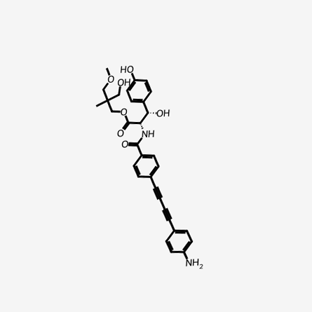 COCC(C)(CO)COC(=O)[C@@H](NC(=O)c1ccc(C#CC#Cc2ccc(N)cc2)cc1)[C@@H](O)c1ccc(O)cc1